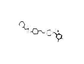 Cc1cc2c(N3CCN(CCC4CCC(NC(=O)CC5CCCCO5)CC4)CC3)noc2cc1F